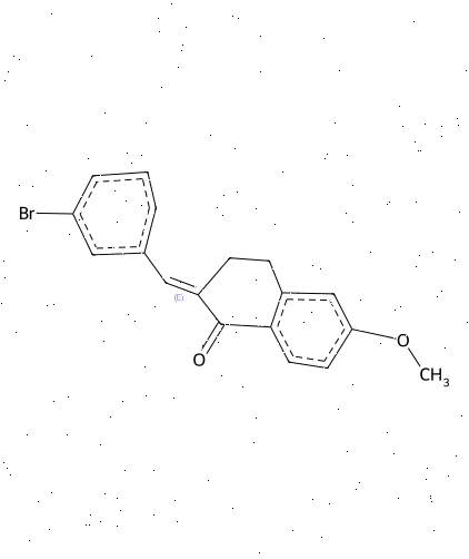 COc1ccc2c(c1)CC/C(=C\c1cccc(Br)c1)C2=O